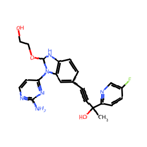 CC(O)(C#Cc1ccc2c(c1)N(c1ccnc(N)n1)C(OCCO)N2)c1ccc(F)cn1